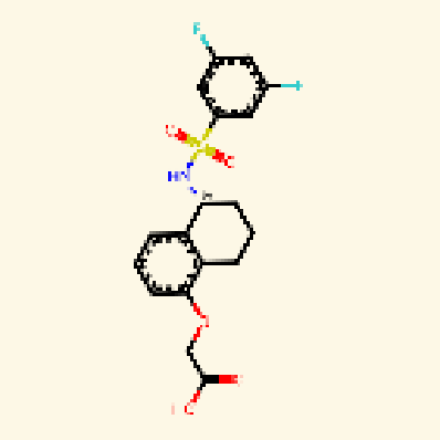 O=C(O)COc1cccc2c1CCC[C@H]2NS(=O)(=O)c1cc(F)cc(F)c1